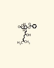 CC(C)=CCCC(O)C=C[C@H]1[C@@H]2CC(=O)O[C@H]2C[C@@H]1OC(=O)c1ccccc1